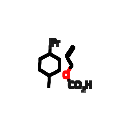 C=CCOC(=O)O.CC1CCC(C(C)C)CC1